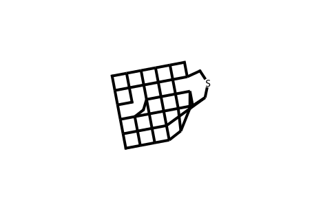 C1C2C3CC24C1C1C2C5CC6CSC7C8C9CC%10C%11C%12C%13CC%14C3C3%15CC%16%17C14C21C65C92C%108C4(C7%11C%12(C%14%133)C%15%164)C%1721